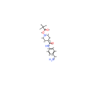 CC(C)(C)C(=O)ON1CCC(C(=O)Nc2ccc(CN)cc2)CC1